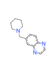 c1cnc2cc(CN3CCCCC3)ccc2n1